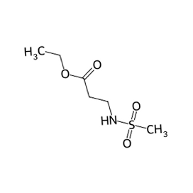 CCOC(=O)CCNS(C)(=O)=O